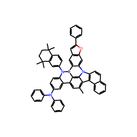 Cc1cc2c3c4c1c1c5ccccc5ccc1n4-c1cc4oc(-c5ccccc5)cc4cc1B3N(c1ccc3c(c1)C(C)(C)CCC3(C)C)c1ccc(N(c3ccccc3)c3ccccc3)cc1-2